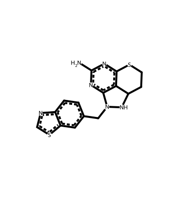 Nc1nc2c3c(n1)N(Cc1ccc4ncsc4c1)NC3CCS2